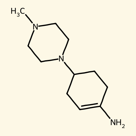 CN1CCN(C2CC=C(N)CC2)CC1